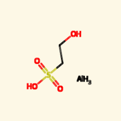 O=S(=O)(O)CCO.[AlH3]